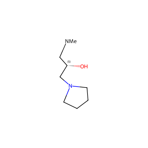 CNC[C@H](O)CN1CCCC1